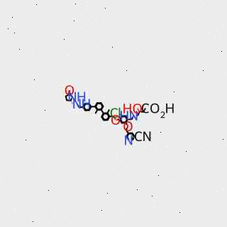 Cc1c(COc2cc(OCc3cncc(C#N)c3)c(CNC[C@@H](O)CC(=O)O)cc2Cl)cccc1-c1cccc(-c2ccc(CNC[C@@H]3CCC(=O)N3)cc2)c1C